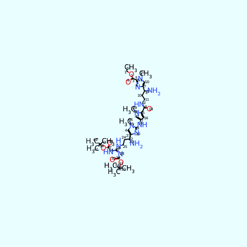 CCOC(=O)c1nc(C(N)CCNC(=O)c2cc(Nc3nc(C(N)CCNC(=NC(=O)OC(C)(C)C)NC(=O)OC(C)(C)C)cn3C)cn2C)cn1C